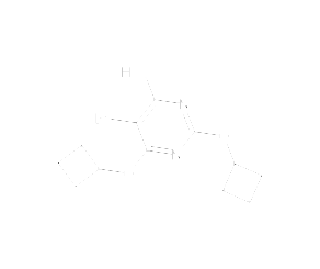 Cc1nc(OC2CCC2)nc(OC2CCC2)c1Br